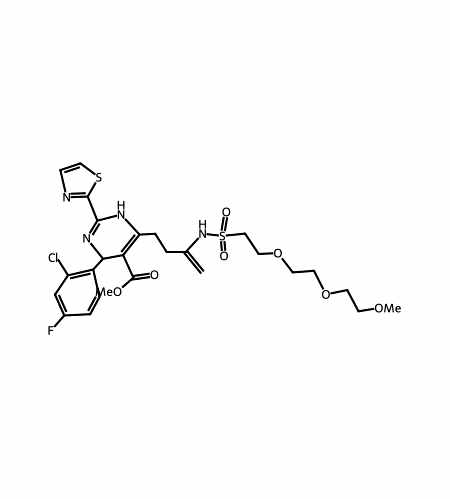 C=C(CCC1=C(C(=O)OC)C(c2ccc(F)cc2Cl)N=C(c2nccs2)N1)NS(=O)(=O)CCOCCOCCOC